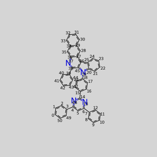 c1ccc(-c2cc(-c3ccccc3)nc(-c3ccc(-n4c5ccccc5c5c6cc7ccccc7cc6nc(-c6ccccc6)c54)cc3)n2)cc1